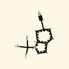 N#Cc1ccc2ccn(C(F)(F)F)c2c1